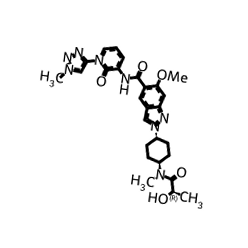 COc1cc2nn([C@H]3CC[C@H](N(C)C(=O)[C@@H](C)O)CC3)cc2cc1C(=O)Nc1cccn(-c2cn(C)nn2)c1=O